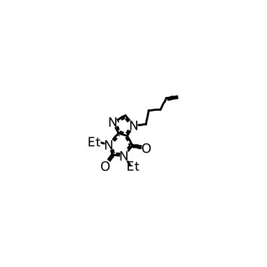 C=CCCCn1cnc2c1c(=O)n(CC)c(=O)n2CC